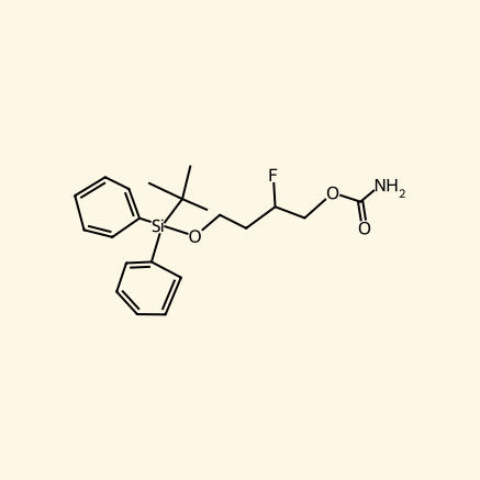 CC(C)(C)[Si](OCCC(F)COC(N)=O)(c1ccccc1)c1ccccc1